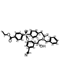 CCOC(=O)c1ccc(S(=O)(=O)c2ccc(C[C@@H](C)N(Cc3ccccc3)C[C@H](O)c3cccc(C#N)c3)cc2)cc1